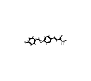 CNC(=O)/C=C/c1ccc(OCc2ccc(C)cc2)cc1